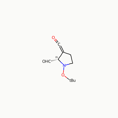 CC(C)(C)ON1CCC(=C=O)[C@H]1C=O